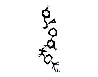 CC(C)(C)OC(=O)N1CCN(C(=O)C(C)(C)Oc2cc(F)cc(N3CCC[C@@H](C(=O)N(Cc4ccc(Br)cc4)C4CC4)C3)c2)CC1